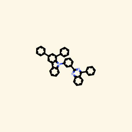 c1ccc(-c2cc(-c3ccccc3)c3c(c2)c2ccccc2n3-c2cccc(-c3nc(-c4ccccc4)c4ccccc4n3)c2)cc1